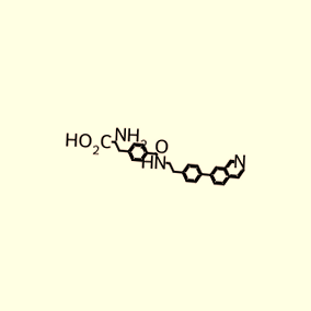 NC(Cc1ccc(C(=O)NCCc2ccc(-c3ccc4ccncc4c3)cc2)cc1)C(=O)O